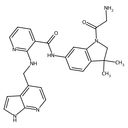 CC1(C)CN(C(=O)CN)c2cc(NC(=O)c3cccnc3NCc3ccnc4[nH]ccc34)ccc21